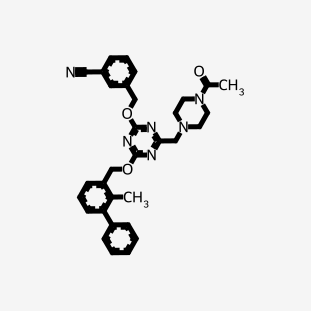 CC(=O)N1CCN(Cc2nc(OCc3cccc(C#N)c3)nc(OCc3cccc(-c4ccccc4)c3C)n2)CC1